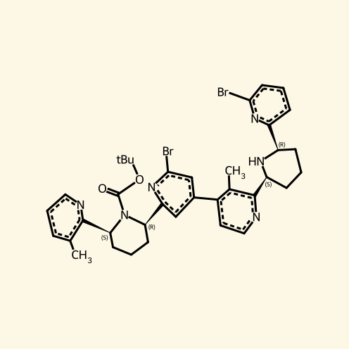 Cc1cccnc1[C@@H]1CCC[C@H](c2cc(-c3ccnc([C@@H]4CCC[C@H](c5cccc(Br)n5)N4)c3C)cc(Br)n2)N1C(=O)OC(C)(C)C